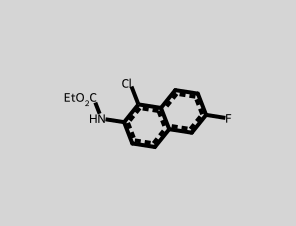 CCOC(=O)Nc1ccc2cc(F)ccc2c1Cl